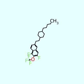 CCCCCC1CCC(CCc2ccc3c(F)c(OC(F)(F)F)c(F)cc3c2)CC1